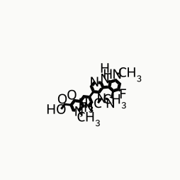 CNc1cc(F)c(C#N)c2c1[nH]c1ncc(-c3cnc4c(c3)c(=O)c(C(=O)O)cn4C)c(N(C)C)c12